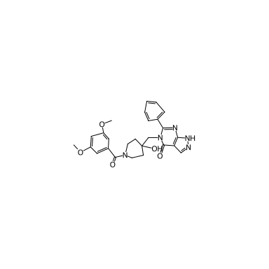 COc1cc(OC)cc(C(=O)N2CCC(O)(Cn3c(-c4ccccc4)nc4[nH]ncc4c3=O)CC2)c1